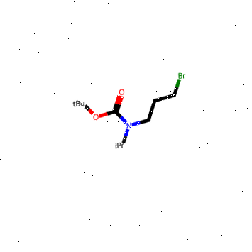 CC(C)N(CCCBr)C(=O)OC(C)(C)C